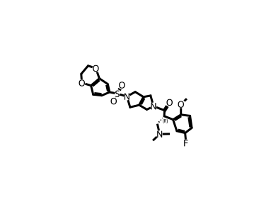 COc1ccc(F)cc1[C@H](CN(C)C)C(=O)N1CC2=C(C1)CN(S(=O)(=O)c1ccc3c(c1)OCCO3)C2